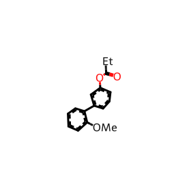 CCC(=O)Oc1cccc(-c2ccccc2OC)c1